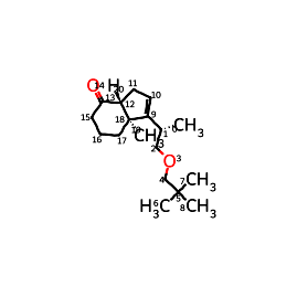 C[C@H](COCC(C)(C)C)C1=CC[C@H]2C(=O)CCC[C@]12C